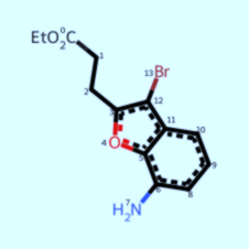 CCOC(=O)CCc1oc2c(N)cccc2c1Br